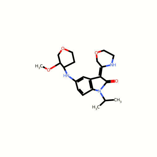 COC1COCCC1Nc1ccc2c(c1)/C(=C1\COCCN1)C(=O)N2C(C)C